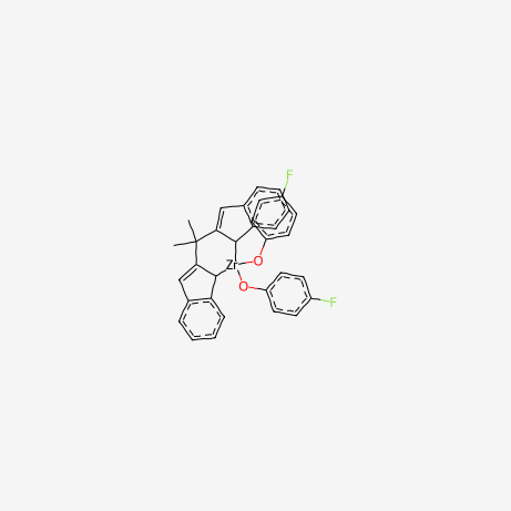 CC1(C)C2=Cc3ccccc3[CH]2[Zr]([O]c2ccc(F)cc2)([O]c2ccc(F)cc2)[CH]2C1=Cc1ccccc12